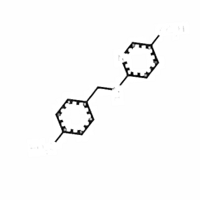 O=C(O)c1ccc(CNc2ccc(C(=O)O)cn2)cc1